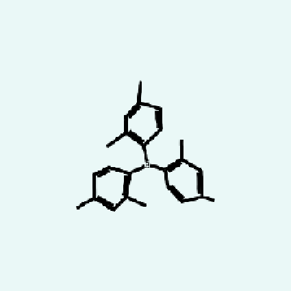 Cc1ccc(B(c2ccc(C)cc2C)c2ccc(C)cc2C)c(C)c1